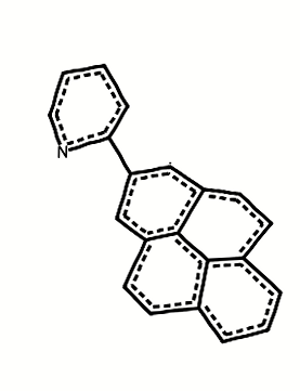 [c]1c(-c2ccccn2)cc2ccc3cccc4ccc1c2c43